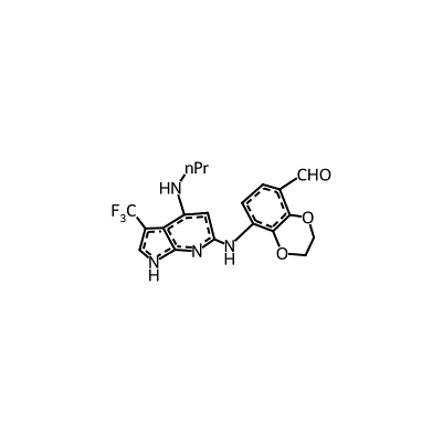 CCCNc1cc(Nc2ccc(C=O)c3c2OCCO3)nc2[nH]cc(C(F)(F)F)c12